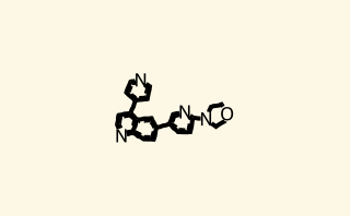 c1cc(-c2ccnc3ccc(-c4ccc(N5CCOCC5)nc4)cc23)ccn1